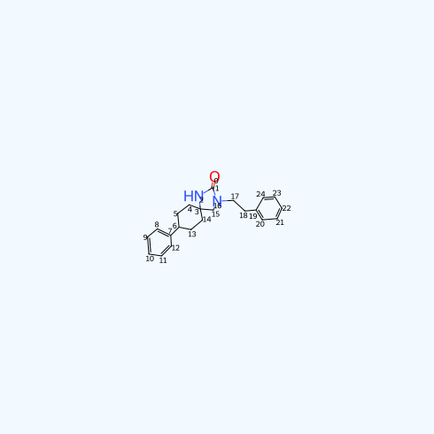 O=C1NC2(CCC(c3ccccc3)CC2)CN1CCc1ccccc1